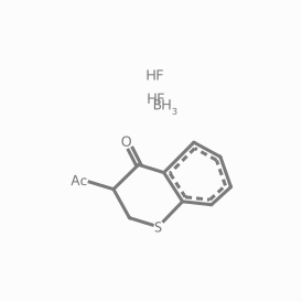 B.CC(=O)C1CSc2ccccc2C1=O.F.F